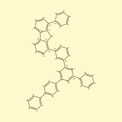 c1ccc(-c2ccc(-c3nc(-c4ccccc4)nc(-c4cccc(-c5ncnc6c5Cc5c(-c7ccccc7)cccc5-6)c4)n3)cc2)cc1